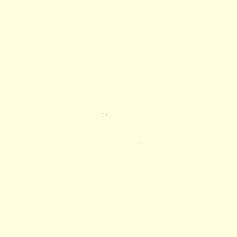 CC(NS(=O)(=O)Cc1ccccc1)C(=O)C(=O)NCC1CC1